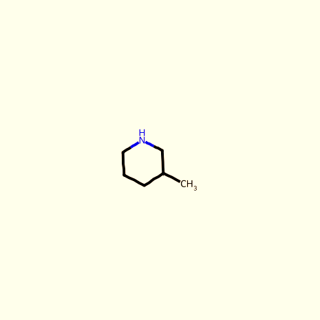 C[C]1CCCNC1